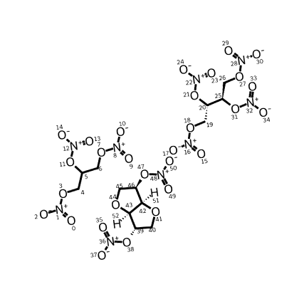 O=[N+]([O-])OCC(CO[N+](=O)[O-])O[N+](=O)[O-].O=[N+]([O-])OC[C@H](O[N+](=O)[O-])[C@@H](CO[N+](=O)[O-])O[N+](=O)[O-].O=[N+]([O-])O[C@H]1CO[C@H]2[C@@H]1OC[C@H]2O[N+](=O)[O-]